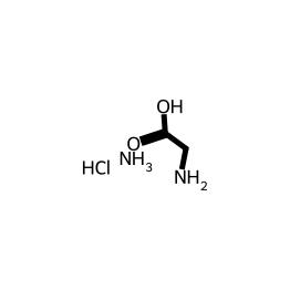 Cl.N.NCC(=O)O